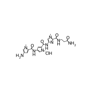 Cl.Cn1cc(N)cc1C(=O)Nc1cc(C(=O)Nc2cn(C)c(C(=O)NCCC(N)=O)n2)n(C)c1